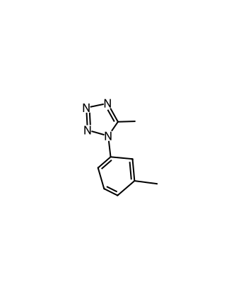 Cc1cccc(-n2nnnc2C)c1